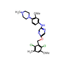 COc1cc(Nc2cnc(OCc3c(Cl)c(C)cc(OC)c3Cl)cn2)ccc1N1CCN(C)CC1